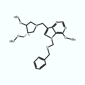 CCCCOC[C@H]1CN(Cc2cn(COCc3ccccc3)c3c(OC(C)(C)C)ncnc23)CC1OCCCC